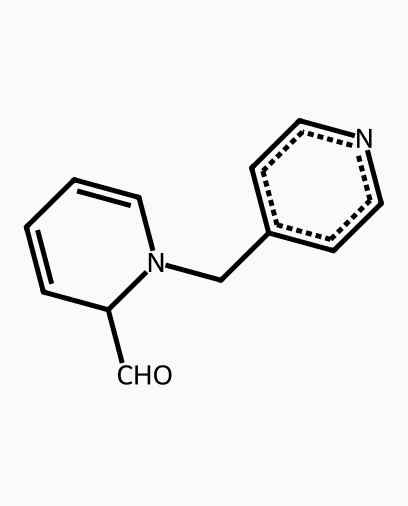 O=CC1C=CC=CN1Cc1ccncc1